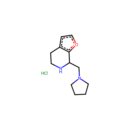 Cl.c1cc2c(o1)C(CN1CCCC1)NCC2